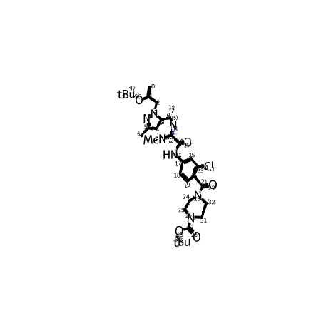 C=C(CN1N=C(C)CC1[C@H](C)/N=C(\NC)C(=O)Nc1ccc(C(=O)N2CCN(C(=O)OC(C)(C)C)CC2)c(Cl)c1)OC(C)(C)C